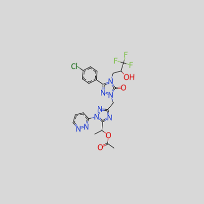 CC(=O)OC(C)c1nc(Cn2nc(-c3ccc(Cl)cc3)n(CC(O)C(F)(F)F)c2=O)nn1-c1cccnn1